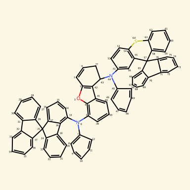 C1=Cc2oc3c(N(c4ccccc4)c4cccc5c4-c4ccccc4C54c5ccccc5-c5ccccc54)cccc3c2C(N(c2ccccc2)c2ccc3c(c2)C2(c4ccccc4S3)c3ccccc3-c3ccccc32)C1